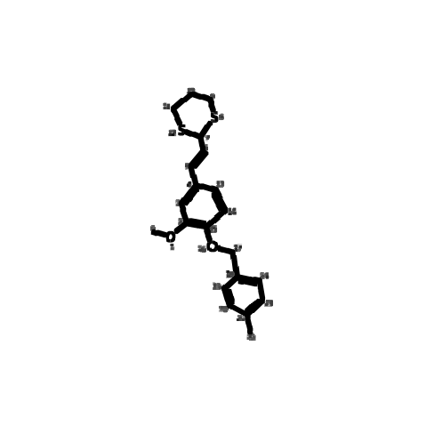 COc1cc(C=CC2SCCCS2)ccc1OCc1ccc(C)cc1